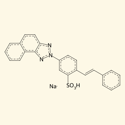 O=S(=O)(O)c1cc(-n2nc3ccc4ccccc4c3n2)ccc1C=Cc1ccccc1.[Na]